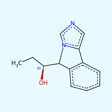 CC[C@H](O)C1c2ccccc2-c2cncn21